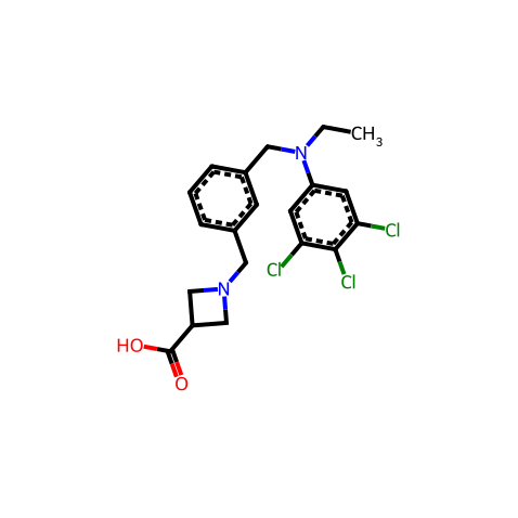 CCN(Cc1cccc(CN2CC(C(=O)O)C2)c1)c1cc(Cl)c(Cl)c(Cl)c1